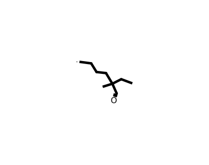 [CH2]CCCC(C)(C=O)CC